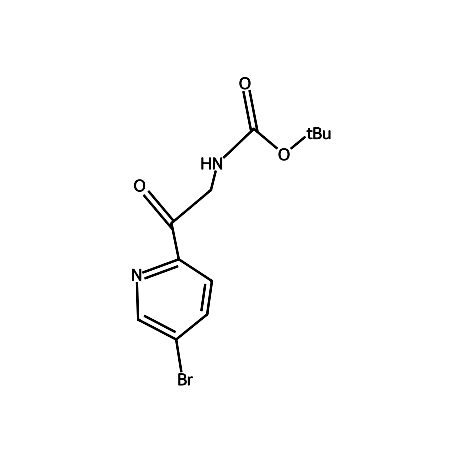 CC(C)(C)OC(=O)NCC(=O)c1ccc(Br)cn1